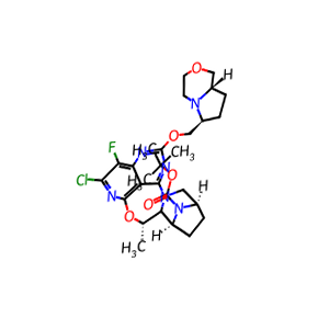 C[C@@H]1Oc2nc(Cl)c(F)c3nc(OC[C@@H]4CC[C@H]5COCCN54)nc(c23)N2C[C@H]3CC[C@@H](C12)N3C(=O)OC(C)(C)C